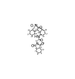 O=C(CN1C(=O)c2ccccc2C1=O)Nc1cccc2oc([N+](=O)[O-])c(-c3ccccc3)c12